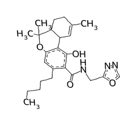 CCCCCc1cc2c(c(O)c1C(=O)NCc1nnco1)C1C=C(C)CCC1C(C)(C)O2